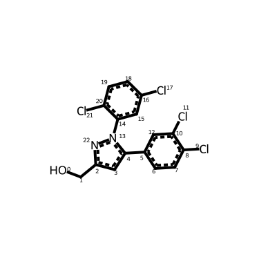 OCc1cc(-c2ccc(Cl)c(Cl)c2)n(-c2cc(Cl)ccc2Cl)n1